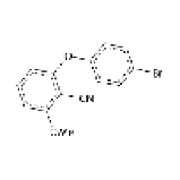 COc1cccc(Oc2ccc(Br)cc2)c1C#N